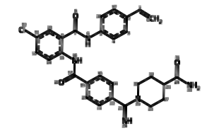 C=Cc1ccc(NC(=O)c2cc(Cl)ccc2NC(=O)c2ccc(C(=N)N3CCC(C(N)=O)CC3)cc2)cc1